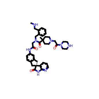 CNCc1ccccc1CN(CC(=O)Nc1ccc2c(c1)C[C@@]1(C2)C(=O)Nc2ncccc21)C(=O)C1(C)CCN(CC(=O)N2CCNCC2)CC1